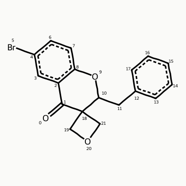 O=C1c2cc(Br)ccc2OC(Cc2ccccc2)C12COC2